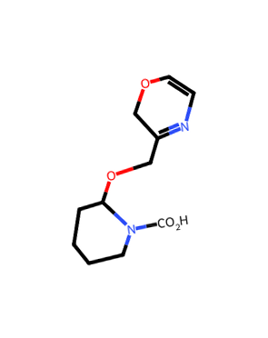 O=C(O)N1CCCCC1OCC1=NC=COC1